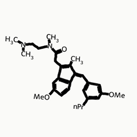 CCCc1cc(/C=C2/C(C)=C(CC(=O)N(C)CCN(C)C)c3cc(OC)ccc32)cc(OC)c1